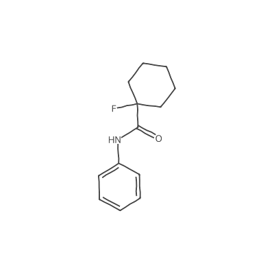 O=C(Nc1ccccc1)C1(F)CCCCC1